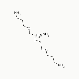 N.N.NCCCOCCOCCOCCCN